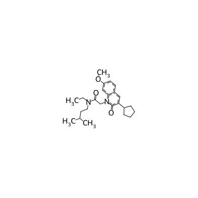 CCN(CCC(C)C)C(=O)Cn1c(=O)c(C2CCCC2)cc2ccc(OC)cc21